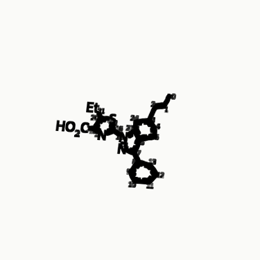 C/C=C/c1ccc2c(-c3ccccc3)nn(-c3nc(C(=O)O)c(CC)s3)c2c1